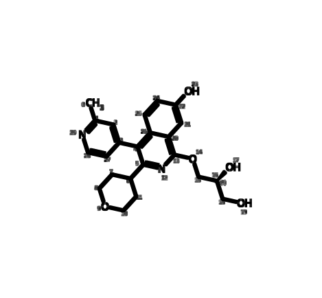 Cc1cc(-c2c(C3CCOCC3)nc(OC[C@@H](O)CO)c3cc(O)ccc23)ccn1